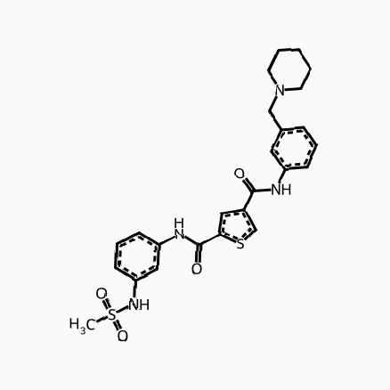 CS(=O)(=O)Nc1cccc(NC(=O)c2cc(C(=O)Nc3cccc(CN4CCCCC4)c3)cs2)c1